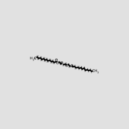 CCCCCCCCCCCCCCOCCOCCOCCOC(=O)CCCCCCCCCCCCC